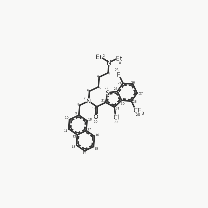 CCN(CC)CCCCN(Cc1ccc2ccccc2c1)C(=O)c1sc2c(F)ccc(C(F)(F)F)c2c1Cl